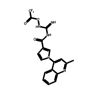 Cc1cc(-n2ccc(C(=O)NC(=N)NOC(=O)C(F)(F)F)c2)c2ccccc2n1